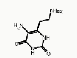 CCCCCCCCc1[nH]c(=O)[nH]c(=O)c1N